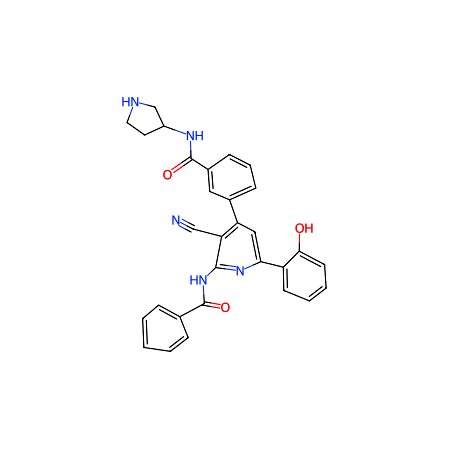 N#Cc1c(-c2cccc(C(=O)NC3CCNC3)c2)cc(-c2ccccc2O)nc1NC(=O)c1ccccc1